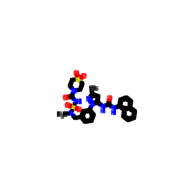 CN(Cc1cccc(-n2nc(C(C)(C)C)cc2NC(=O)Nc2cccc3ccccc23)c1)S(=O)(=O)NC(=O)N1CCS(=O)(=O)CC1